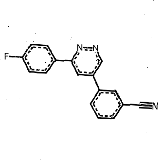 N#Cc1cccc(-c2cnnc(-c3ccc(F)cc3)c2)c1